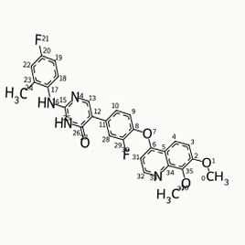 COc1ccc2c(Oc3ccc(-c4cnc(Nc5ccc(F)cc5C)[nH]c4=O)cc3F)ccnc2c1OC